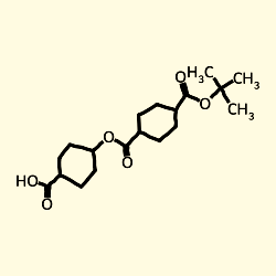 CC(C)(C)OC(=O)C1CCC(C(=O)OC2CCC(C(=O)O)CC2)CC1